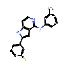 Cc1cccc(Nc2nccc3[nH]c(-c4cccc(F)c4)cc23)c1